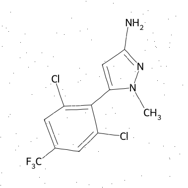 Cn1nc(N)cc1-c1c(Cl)cc(C(F)(F)F)cc1Cl